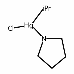 C[CH](C)[Hg]([Cl])[N]1CCCC1